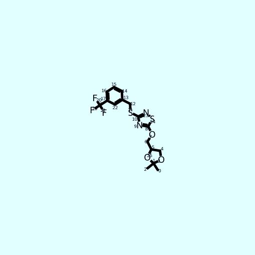 CC1(C)OCC(COc2nc(SCc3cccc(C(F)(F)F)c3)ns2)O1